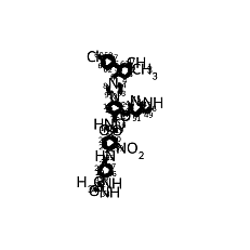 CC1(C)CCC(CN2CCN(c3ccc(C(=O)NS(=O)(=O)c4ccc(NCC5CCC(NS(C)(=N)=O)CC5)c([N+](=O)[O-])c4)c(Oc4cnc5[nH]ccc5c4)c3)CC2)=C(c2ccc(Cl)cc2)C1